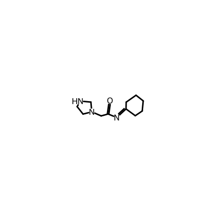 O=C(CN1CCNC1)N=C1CCCCC1